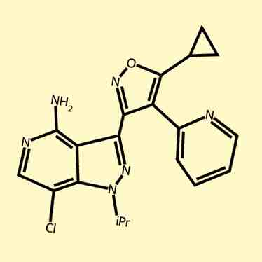 CC(C)n1nc(-c2noc(C3CC3)c2-c2ccccn2)c2c(N)ncc(Cl)c21